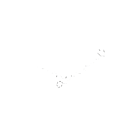 O=C1C=CC(=O)C(CCCCCC(=O)NCC(=O)NCC(=O)N[C@@H](Cc2ccccc2)C(=O)NCC(=O)NCOCCOCC(=O)O)=C1